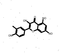 Cc1cc(-c2oc3cc(N=O)cc(N=O)c3c(=O)c2N=O)ccc1N=O